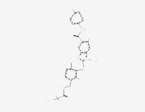 Bc1ccc(NC(=O)c2cc3nc(Nc4c(Cl)ccc(CNC(=O)C(C)(C)C)c4Cl)n(C)c3cc2F)cc1